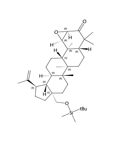 C=C(C)[C@@H]1CC[C@]2(CO[Si](C)(C)C(C)(C)C)CC[C@]3(C)[C@H](CC[C@@H]4[C@@]5(C)[C@H]6O[C@H]6C(=O)C(C)(C)[C@@H]5CC[C@]43C)[C@@H]12